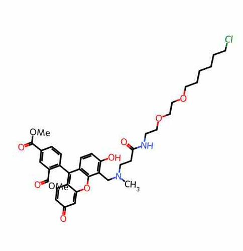 COC(=O)c1ccc(-c2c3ccc(=O)cc-3oc3c(CN(C)CCC(=O)NCCOCCOCCCCCCCl)c(O)ccc23)c(C(=O)OC)c1